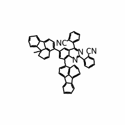 CC12CC=Cc3c(-c4cc(-c5ccc6c7c(cccc57)-c5ccccc5-6)c5nc(-c6ccccc6C#N)nc(-c6ccccc6C#N)c5c4)ccc(c31)-c1ccccc12